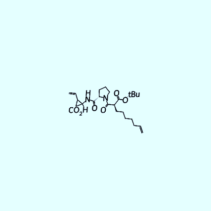 C=CCCCCC[C@H](C(=O)OC(C)(C)C)C(=O)N1CCC[C@H]1C(=O)NC1(C(=O)O)CC1C=C